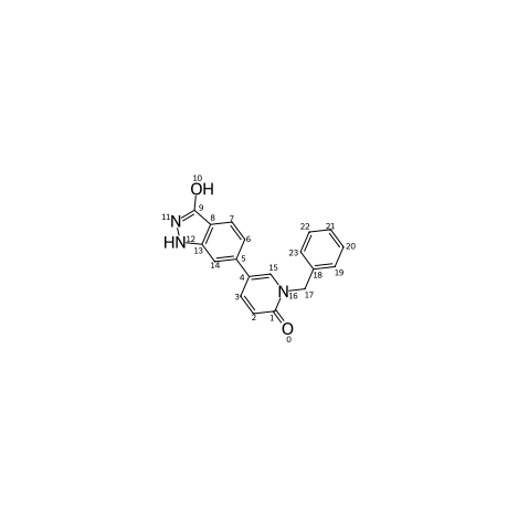 O=c1ccc(-c2ccc3c(O)n[nH]c3c2)cn1Cc1ccccc1